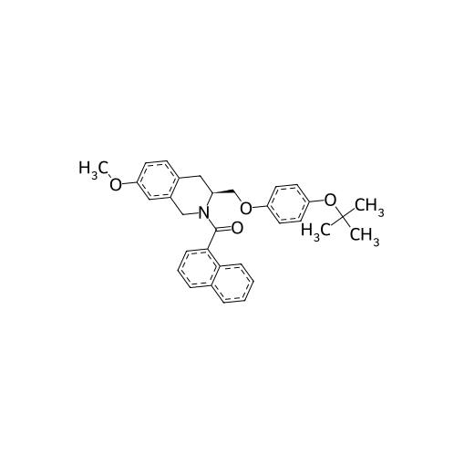 COc1ccc2c(c1)CN(C(=O)c1cccc3ccccc13)[C@H](COc1ccc(OC(C)(C)C)cc1)C2